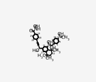 CN(C)c1ccc(CN(C)c2cc(C(O)C#Cc3ccc(C(=O)NO)cc3)cc3c2C(C)(C)CCC3(C)C)cc1